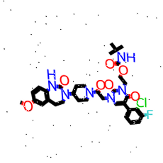 COc1ccc2c(c1)CCN(C1CCN(C(=O)Cn3cc(-c4cccc(F)c4Cl)c(=O)n(CCOC(=O)NC(C)(C)C)c3=O)CC1)C(=O)N2